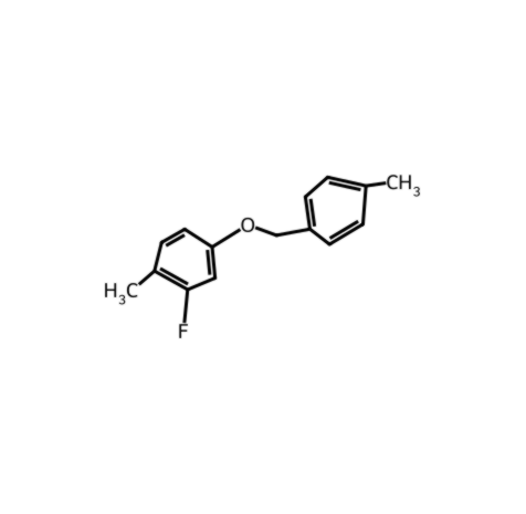 Cc1ccc(COc2ccc(C)c(F)c2)cc1